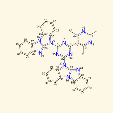 Cc1nc(C)c(-c2nc(-n3c4ccccc4n4c5ccccc5nc34)nc(-n3c4ccccc4n4c5ccccc5nc34)n2)c(C)n1